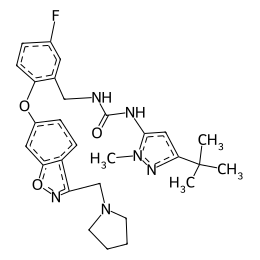 Cn1nc(C(C)(C)C)cc1NC(=O)NCc1cc(F)ccc1Oc1ccc2c(CN3CCCC3)noc2c1